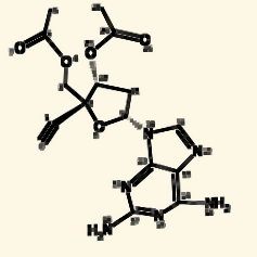 C#C[C@]1(COC(C)=O)O[C@@H](n2cnc3c(N)nc(N)nc32)C[C@H]1OC(C)=O